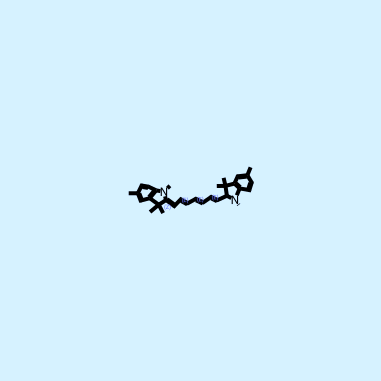 Cc1ccc2c(c1)C(C)(C)/C(=C/C=C/C=C/C=C/C1N(C)c3ccc(C)cc3C1(C)C)N2C